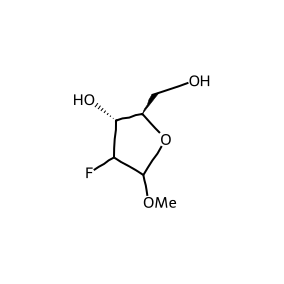 COC1O[C@H](CO)[C@@H](O)C1F